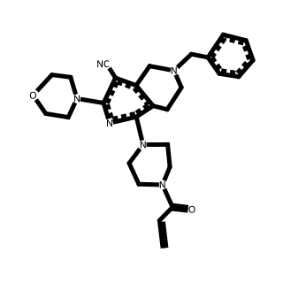 C=CC(=O)N1CCN(c2nc(N3CCOCC3)c(C#N)c3c2CCN(Cc2ccccc2)C3)CC1